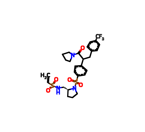 C=CS(=O)(=O)NC[C@H]1CCCN1S(=O)(=O)c1ccc(C(Cc2ccc(C(F)(F)F)cc2)C(=O)N2CCCC2)cc1